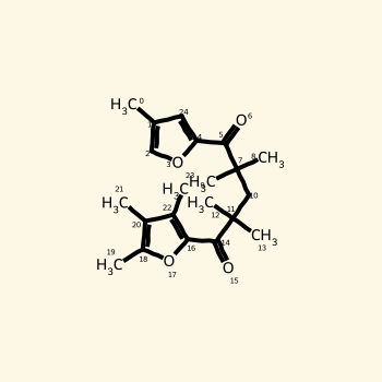 Cc1coc(C(=O)C(C)(C)CC(C)(C)C(=O)c2oc(C)c(C)c2C)c1